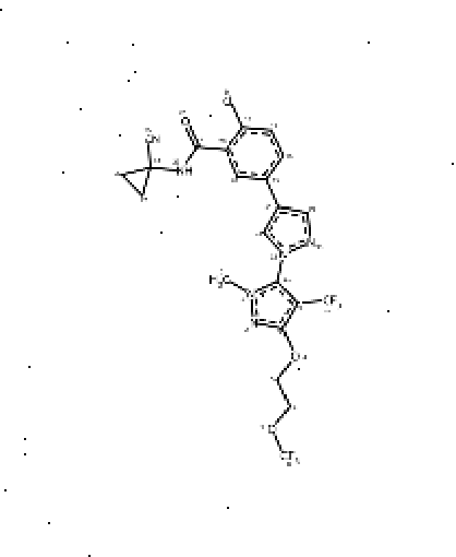 Cn1nc(OCCOC(F)(F)F)c(C(F)(F)F)c1-n1cc(-c2ccc(Cl)c(C(=O)NC3(C#N)CC3)c2)cn1